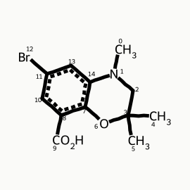 CN1CC(C)(C)Oc2c(C(=O)O)cc(Br)cc21